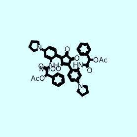 COOC1=C(c2ccc(N3CCCC3)cc2NC(=O)C(OC(C)=O)c2ccccc2)C(=O)C(=O)/C1=C1\C=CC(N2CCCC2)C=C1NC(=O)C(OC(C)=O)c1ccccc1